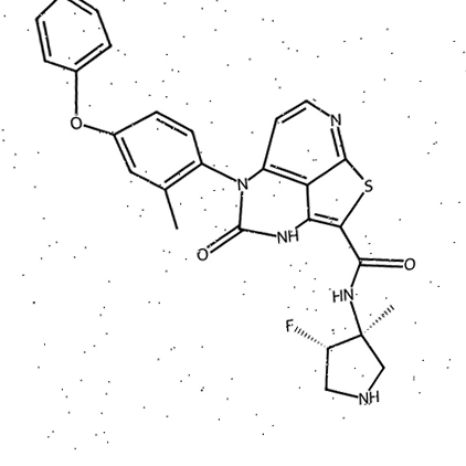 Cc1cc(Oc2ccccc2)ccc1N1C(=O)Nc2c(C(=O)N[C@@]3(C)CNC[C@@H]3F)sc3nccc1c23